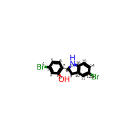 Oc1cc(Br)ccc1[C@H]1Cc2cc(Br)ccc2N1